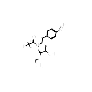 CCOC(=O)C(C)C[C@H](Cc1ccc(NC)cc1)NC(=O)C(F)(F)F